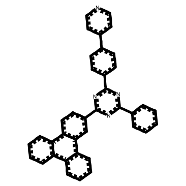 c1ccc(-c2nc(-c3ccc(-c4ccncc4)cc3)nc(-c3ccc4c5ccccc5c5ccccc5c4c3)n2)cc1